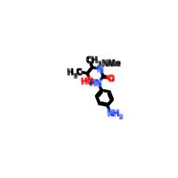 CNN(C(=O)Nc1ccc(N)cc1)C(C)C(C)O